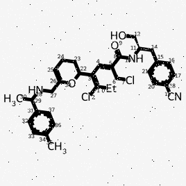 CC/C(Cl)=C(\C=C(/CCl)C(=O)N[C@@H](CO)Cc1ccc(C#N)cc1)C1CCC=C(CNC(C)c2ccc(C)cc2)O1